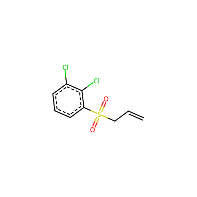 C=CCS(=O)(=O)c1cccc(Cl)c1Cl